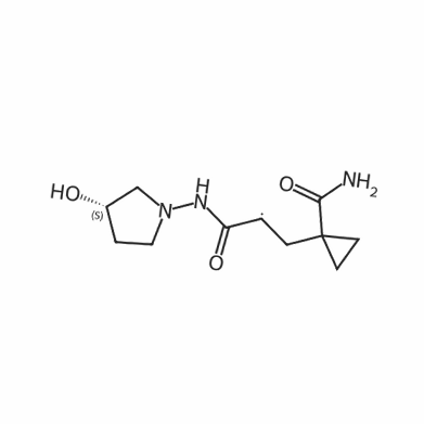 NC(=O)C1(C[CH]C(=O)NN2CC[C@H](O)C2)CC1